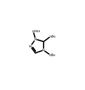 CCCCCCN1N=CN(CCCC)C1CCCC